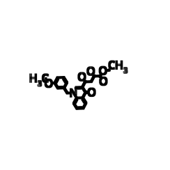 CCOC(=O)C(=O)CC(=O)c1cn(Cc2cccc(OC)c2)c2ccccc2c1=O